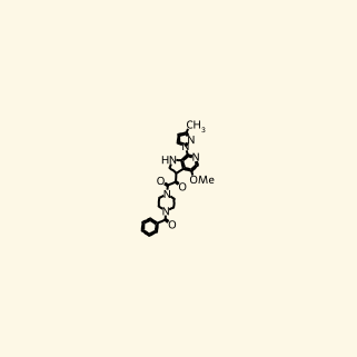 COc1cnc(-n2ccc(C)n2)c2c1C(C(=O)C(=O)N1CCN(C(=O)c3ccccc3)CC1)CN2